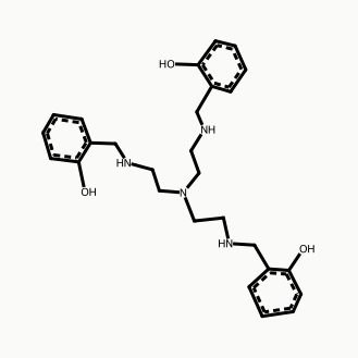 Oc1ccccc1CNCCN(CCNCc1ccccc1O)CCNCc1ccccc1O